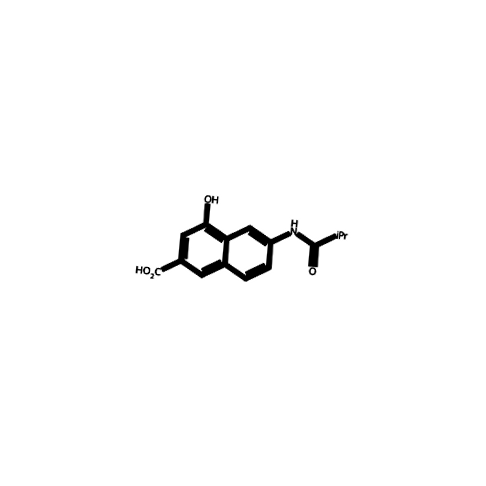 CC(C)C(=O)Nc1ccc2cc(C(=O)O)cc(O)c2c1